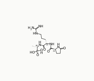 C[C@H](NC(=O)[C@H](CCCNC(=N)N)NC(=O)[C@@H]1CCC(=O)N1)P(=O)(O)O